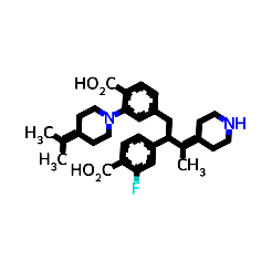 CC(C)=C1CCN(c2cc(CC(C(C)=C3CCNCC3)c3ccc(C(=O)O)c(F)c3)ccc2C(=O)O)CC1